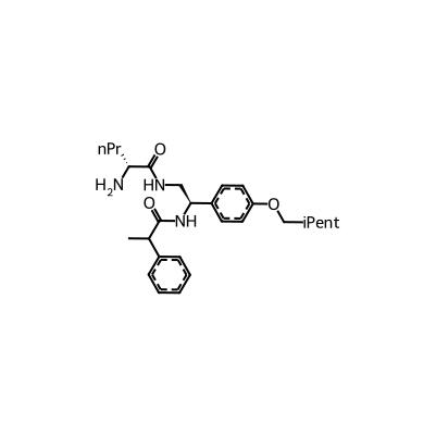 CCCC(C)COc1ccc([C@H](CNC(=O)[C@H](N)CCC)NC(=O)C(C)c2ccccc2)cc1